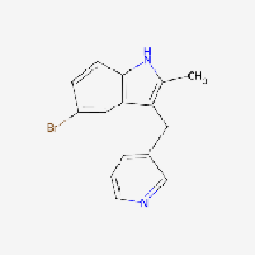 Cc1[nH]c2ccc(Br)cc2c1Cc1cccnc1